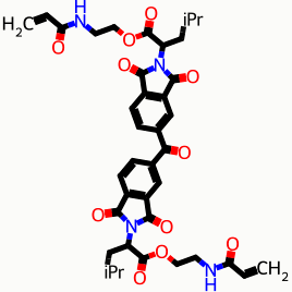 C=CC(=O)NCCOC(=O)C(CC(C)C)N1C(=O)c2ccc(C(=O)c3ccc4c(c3)C(=O)N(C(CC(C)C)C(=O)OCCNC(=O)C=C)C4=O)cc2C1=O